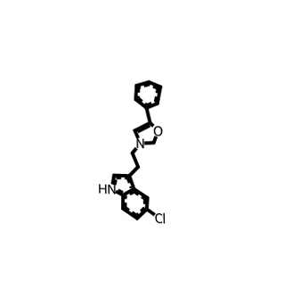 Clc1ccc2[nH]cc(CCN3C=C(c4ccccc4)OC3)c2c1